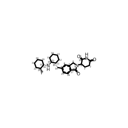 O=C1CCC(N2Cc3cc(C[C@H]4CCCC[C@@H]4N[C@H]4CCCC[C@@H]4F)ccc3C2=O)C(=O)N1